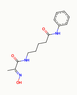 CC(=NO)C(=O)NCCCCC(=O)Nc1ccccc1